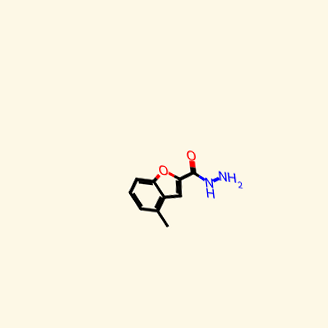 Cc1cccc2oc(C(=O)NN)cc12